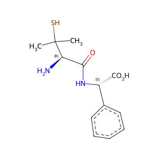 CC(C)(S)[C@H](N)C(=O)N[C@H](C(=O)O)c1ccccc1